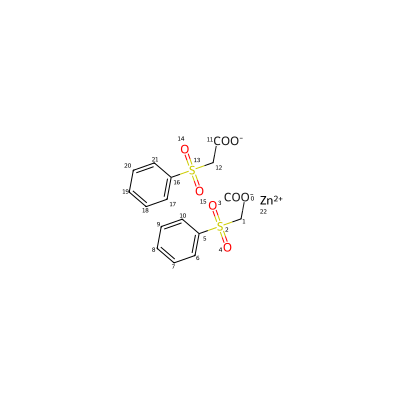 O=C([O-])CS(=O)(=O)c1ccccc1.O=C([O-])CS(=O)(=O)c1ccccc1.[Zn+2]